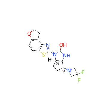 OC1NC2[C@@H](CC[C@@H]2N2CC(F)(F)C2)N1c1nc2c3c(ccc2s1)OCC3